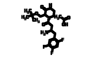 CC(=O)O.CC(C)(C)OCC1C(=O)NCCN1C(=O)CC(N)Cc1cc(F)c(F)cc1F